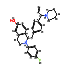 C=CC(c1ccc(CC2c3ccc(O)cc3CCN2c2ccc(F)cc2)cc1)N1CCCCC1